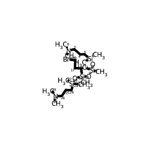 CN(C)CCC[Si](C)(C)O[Si](C)(C)O[Si](C)(CCCBr)O[Si](C)(C)CCCN(C)C